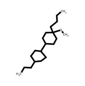 CCCCC1(SC)CCC(C2CCC(CCC)CC2)CC1